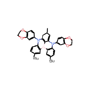 CC1C=C2C3=C(C1)N(c1ccc4c(c1)OCCO4)c1ccc(C(C)(C)C)cc1B3c1cc(C(C)(C)C)ccc1N2c1ccc2c(c1)OCCO2